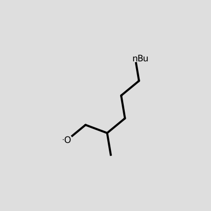 CCCCCCCC(C)C[O]